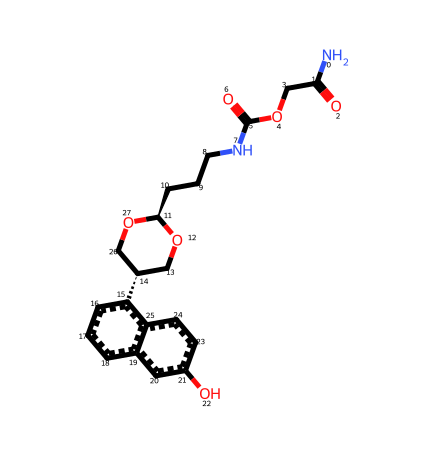 NC(=O)COC(=O)NCCC[C@H]1OC[C@H](c2cccc3cc(O)ccc32)CO1